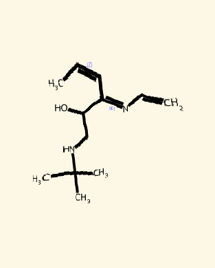 C=C/N=C(\C=C/C)C(O)CNC(C)(C)C